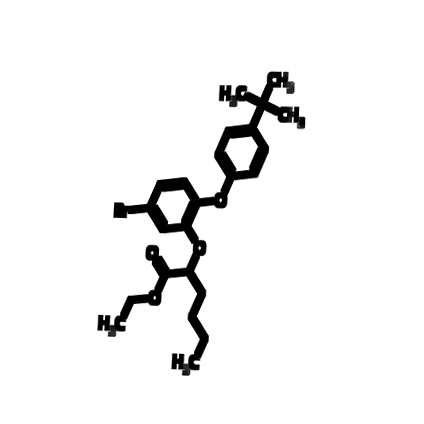 CCCCC(Oc1cc(Br)ccc1Oc1ccc(C(C)(C)C)cc1)C(=O)OCC